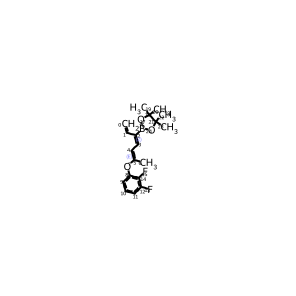 C=C/C(=C\C=C(/C)Oc1cccc(F)c1F)B1OC(C)(C)C(C)(C)O1